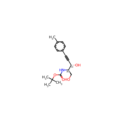 Cc1ccc(C#C[C@H](O)[C@@H](CO)NC(=O)OC(C)(C)C)cc1